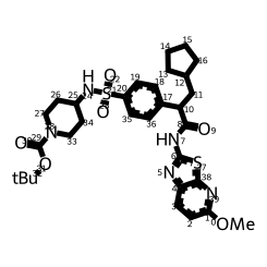 COc1ccc2nc(NC(=O)C(CC3CCCC3)c3ccc(S(=O)(=O)NC4CCN(C(=O)OC(C)(C)C)CC4)cc3)sc2n1